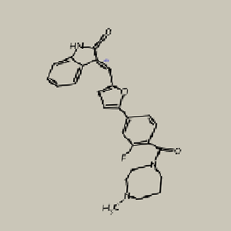 CN1CCCN(C(=O)c2ccc(-c3ccc(/C=C4/C(=O)Nc5ccccc54)o3)cc2F)CC1